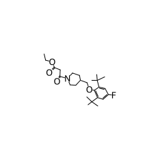 CCOC(=O)CC(=O)N1CCC(COc2c(C(C)(C)C)cc(F)cc2C(C)(C)C)CC1